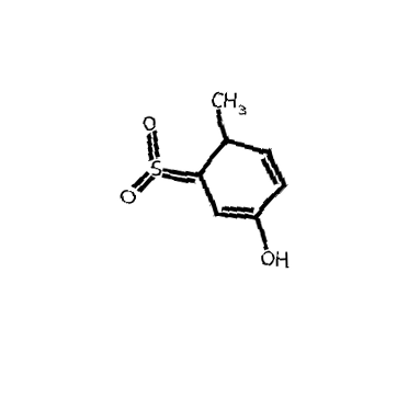 CC1C=CC(O)=CC1=S(=O)=O